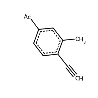 C#Cc1ccc(C(C)=O)cc1C